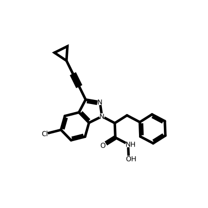 O=C(NO)C(Cc1ccccc1)n1nc(C#CC2CC2)c2cc(Cl)ccc21